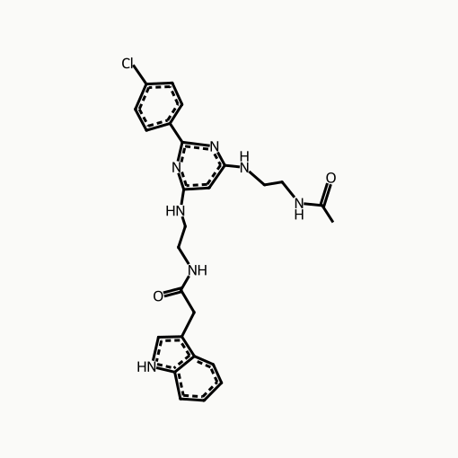 CC(=O)NCCNc1cc(NCCNC(=O)Cc2c[nH]c3ccccc23)nc(-c2ccc(Cl)cc2)n1